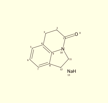 O=C1CCc2cccc3c2N1CC3.[NaH]